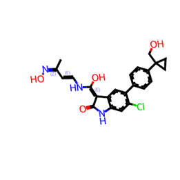 CC(/C=C/N/C(O)=C1\C(=O)Nc2cc(Cl)c(-c3ccc(C4(CO)CC4)cc3)cc21)=N/O